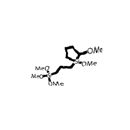 COC1CCC[Si]1(CCC[Si](OC)(OC)OC)OC